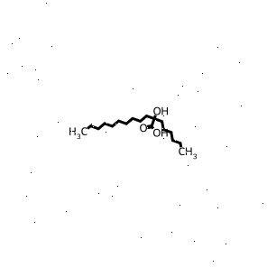 CCCCCCCCCCC(O)(CCCCCC)C(=O)O